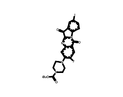 CC(C)COC(=O)N1CCN(c2cc3nc4n(c(=O)c3cc2F)-c2ccc(I)cc2C4=O)CC1